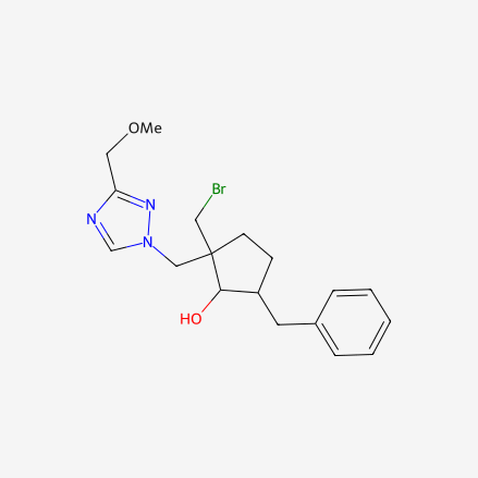 COCc1ncn(CC2(CBr)CCC(Cc3ccccc3)C2O)n1